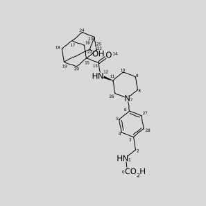 O=C(O)NCc1ccc(N2CCC[C@H](NC(=O)C34CC5CC(C3)C(O)C(C5)C4)C2)cc1